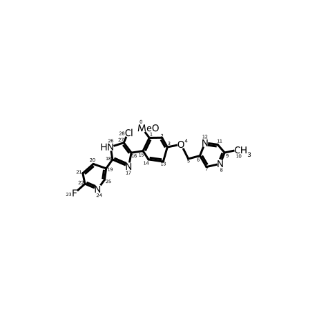 COc1cc(OCc2cnc(C)cn2)ccc1-c1nc(-c2ccc(F)nc2)[nH]c1Cl